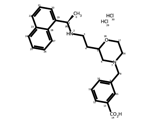 C[C@@H](NCCC1CN(Cc2cccc(C(=O)O)c2)CCO1)c1cccc2ccccc12.Cl.Cl